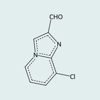 O=Cc1cn2cccc(Cl)c2n1